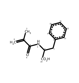 C=C(C)C(=O)NC(Cc1ccccc1)C(=O)O